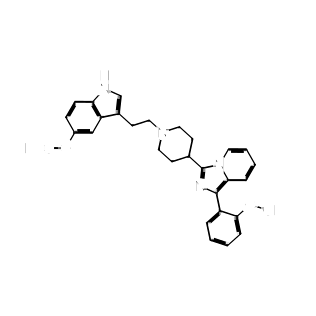 COc1ccc2[nH]cc(CCN3CCC(c4nc(-c5ccccc5OC)c5ccccn45)CC3)c2c1